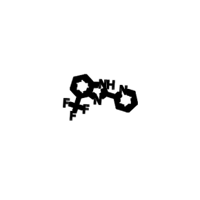 FC(F)(F)c1cccc2[nH]c(-c3ccccn3)nc12